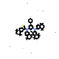 Cc1cc2c(cc1N(c1cc(C3CCCCC3)cc(N(c3ccc4c(c3)C(C)(C)CCC4(C)C)c3csc4cc5c(cc34)C(C)(C)CCC5(C)C)c1)c1ccc3c(c1)C(C)(C)CCC3(C)C)C(C)(C)CCC2(C)C